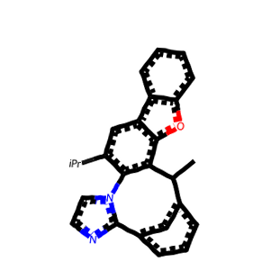 CC(C)c1cc2c(oc3ccccc32)c2c1-n1ccnc1-c1cccc(c1)C2C